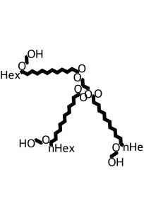 CCCCCCC(CCCCCCCCCCC(=O)OCC(COC(=O)CCCCCCCCCCC(CCCCCC)OCCO)OC(=O)CCCCCCCCCCC(CCCCCC)OCCO)OCCO